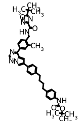 Cc1cc(-c2ncnn3cc(-c4ccc(CCCCc5ccc(NC(=O)OC(C)(C)C)cc5)cc4)cc23)ccc1CNC(=O)c1noc(C(C)(C)C)n1